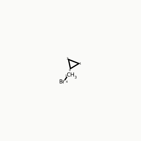 C1CC1.CBr